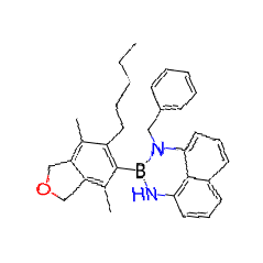 CCCCCc1c(C)c2c(c(C)c1B1Nc3cccc4cccc(c34)N1Cc1ccccc1)COC2